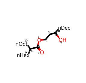 CCCCCCCCCCC(O)CCOC(=O)C(CCCCCC)CCCCCCCC